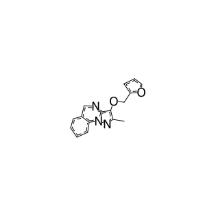 Cc1nn2c(ncc3ccccc32)c1OCc1ccco1